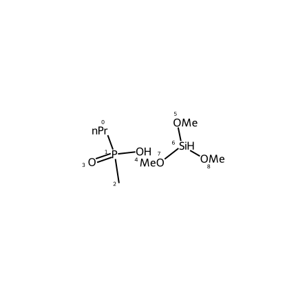 CCCP(C)(=O)O.CO[SiH](OC)OC